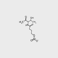 CC(=O)C(NC(=O)CCCO[N+](=O)[O-])C(C)O